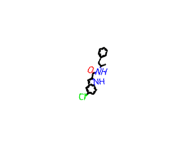 CC(Cc1ccccc1)NC(=O)c1cc2cc(Cl)ccc2[nH]1